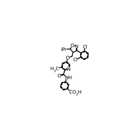 Cc1cc(OCC2C(c3c(Cl)cccc3Cl)=NOC2C(C)C)cnc1C(=O)Nc1cccc(C(=O)O)c1